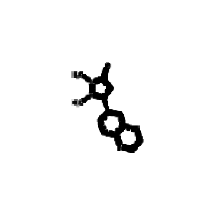 Cn1c(-c2ccc3nccnc3c2)cc(=O)n1C